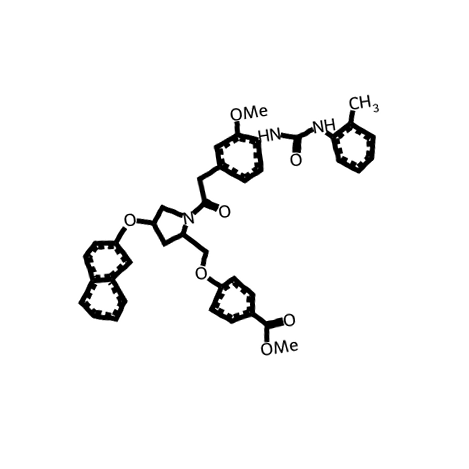 COC(=O)c1ccc(OCC2CC(Oc3ccc4ccccc4c3)CN2C(=O)Cc2ccc(NC(=O)Nc3ccccc3C)c(OC)c2)cc1